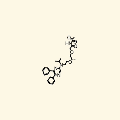 CC(C)N(CCO[C@@H](C)COCC(=O)NS(C)(=O)=O)c1cnc(-c2ccccc2)c(-c2ccccc2)n1